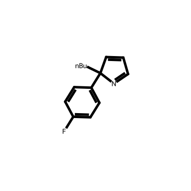 CCCCC1(c2ccc(F)cc2)C=CC=N1